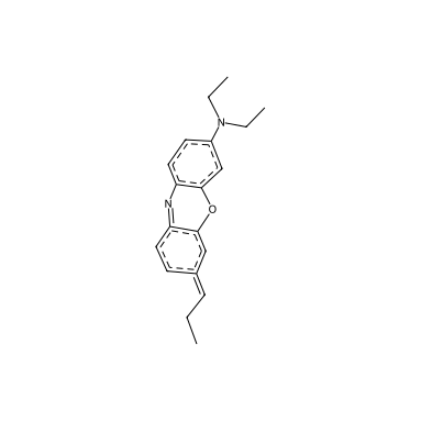 CC/C=c1\ccc2c(c1)Oc1cc(N(CC)CC)ccc1N=2